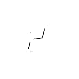 [CH2]OCC.[Zn]